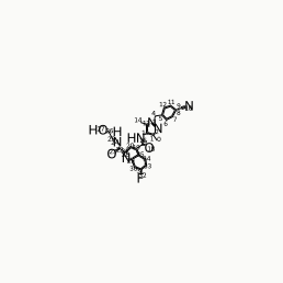 Cc1nn(Cc2ccc(C#N)cc2)c(C)c1NC(=O)c1cc(C(=O)NCCO)nc2cc(F)ccc12